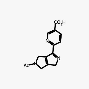 CC(=O)N1CC2=C(C1)C(c1ccc(C(=O)O)cn1)=NC2